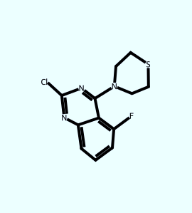 Fc1cccc2nc(Cl)nc(N3CCSCC3)c12